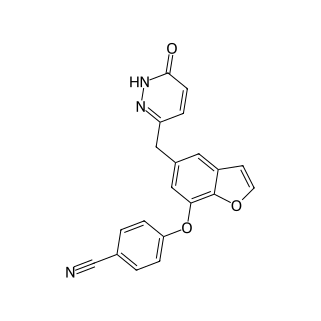 N#Cc1ccc(Oc2cc(Cc3ccc(=O)[nH]n3)cc3ccoc23)cc1